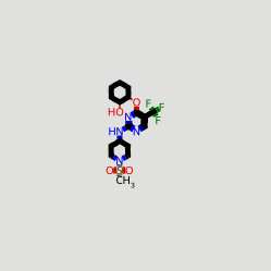 CS(=O)(=O)N1CCC(Nc2ncc(C(F)(F)F)c(O[C@H]3CCCC[C@H]3O)n2)CC1